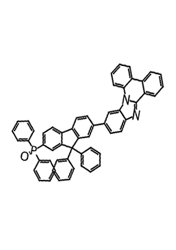 O=P(c1ccccc1)(c1ccccc1)c1ccc2c(c1)C(c1ccccc1)(c1ccccc1)c1cc(-c3ccc4nc5c6ccccc6c6ccccc6n5c4c3)ccc1-2